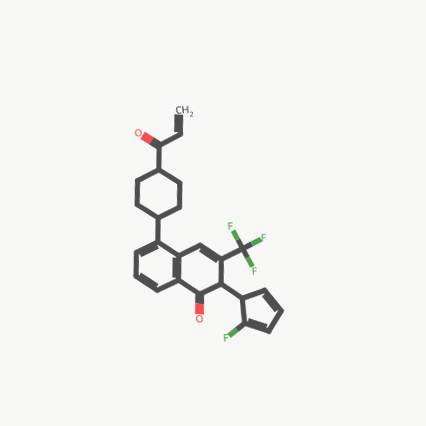 C=CC(=O)C1CCC(c2cccc3c2C=C(C(F)(F)F)C(C2C=CC=C2F)C3=O)CC1